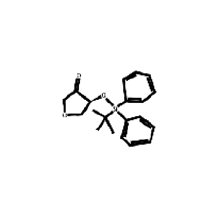 CC(C)(C)[Si](O[C@H]1COCC1=O)(c1ccccc1)c1ccccc1